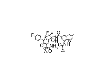 Cc1cnc2c(NC(=O)C3CC3)cc(C(=O)NCC(O)(c3cc4c(c(-c5ccc(F)cc5)n3)OC3C5(CC5)[C@@]43C(N)=O)C(F)(F)F)cc2c1